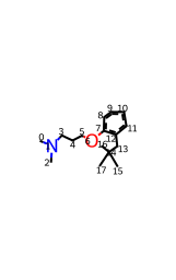 CN(C)CCCOc1ccccc1CC(C)(C)C